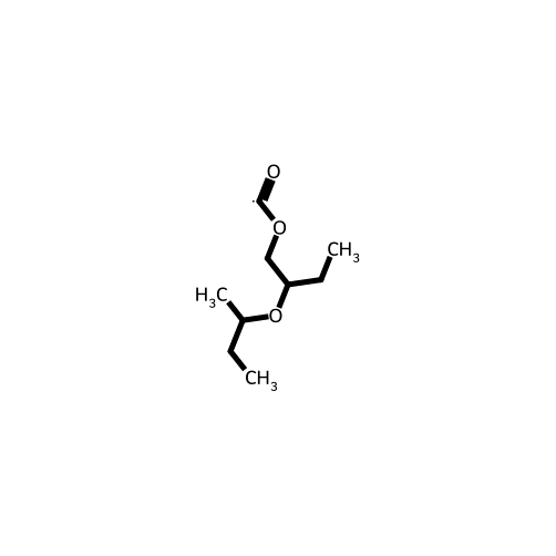 CCC(C)OC(CC)CO[C]=O